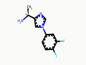 C[C@H](N)c1cn(-c2ccc(F)c(F)c2)cn1